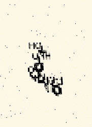 CNN(C(=N)c1cn2c(n1)-c1ccc(C(=O)NC(C)(C)CO)cc1OCC2)c1ccccc1Cl